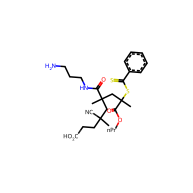 CCCOC(=O)C(C)(CC(C)(CC(C)(C#N)CCC(=O)O)C(=O)NCCCN)SC(=S)c1ccccc1